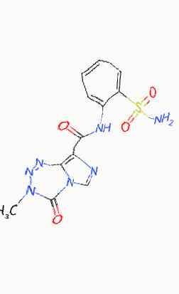 Cn1nnc2c(C(=O)Nc3ccccc3S(N)(=O)=O)ncn2c1=O